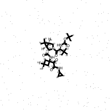 CC(C)(C)OC(=O)N[C@H](C(=O)N1C[C@H]2[C@@H]([C@H]1C(=O)NC1(C(=O)C(=O)NC3CC3)CC(F)(F)C1)C2(C)C)C(C)(C)C